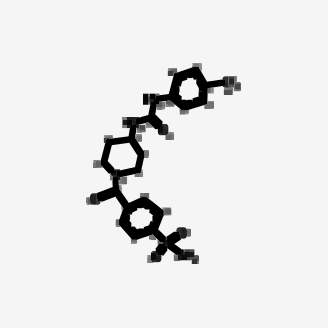 NS(=O)(=O)c1ccc(C(=O)N2CCC(NC(=O)Nc3ccc(C(F)(F)F)cc3)CC2)cc1